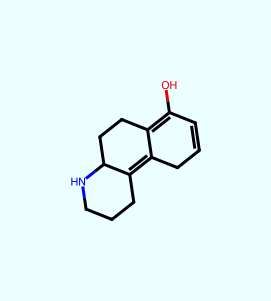 OC1=C2CCC3NCCCC3=C2CC=C1